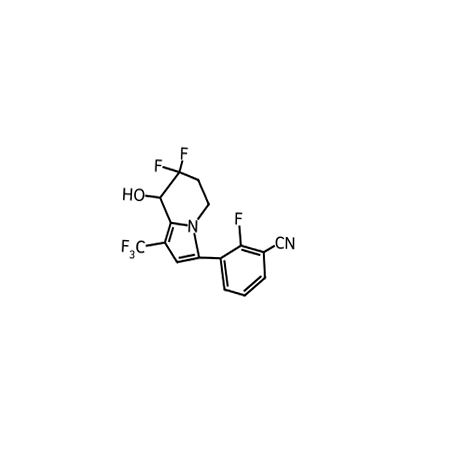 N#Cc1cccc(-c2cc(C(F)(F)F)c3n2CCC(F)(F)C3O)c1F